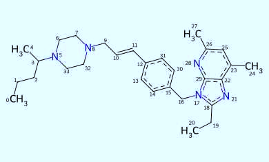 CCCC(C)N1CCN(C/C=C/c2ccc(Cn3c(CC)nc4c(C)cc(C)nc43)cc2)CC1